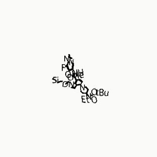 CCN(C(=O)OC(C)(C)C)C1CCN(c2ccc(C(=O)Nc3cn4cc(C)nc4c(F)c3OC)c3c2ccn3COCC[Si](C)(C)C)CC1